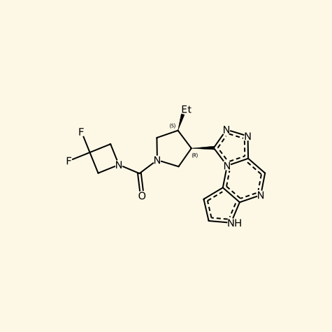 CC[C@@H]1CN(C(=O)N2CC(F)(F)C2)C[C@@H]1c1nnc2cnc3[nH]ccc3n12